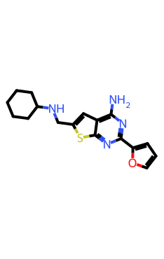 Nc1nc(-c2ccco2)nc2sc(CNC3CCCCC3)cc12